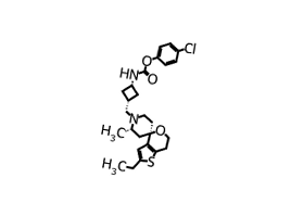 CCc1cc2c(s1)CCO[C@@]21CCN(C[C@H]2C[C@@H](NC(=O)Oc3ccc(Cl)cc3)C2)[C@@H](C)C1